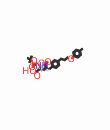 Cc1ccc(OCCCc2ccc(C[C@@H](C[C@@H](NC(=O)OC(C)(C)C)C(=O)O)C(=O)O)cc2)cc1